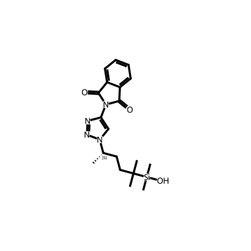 C[C@@H](CCC(C)(C)[Si](C)(C)O)n1cc(N2C(=O)c3ccccc3C2=O)nn1